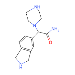 NC(=O)C(c1ccc2c(c1)CNC2)N1CCNCC1